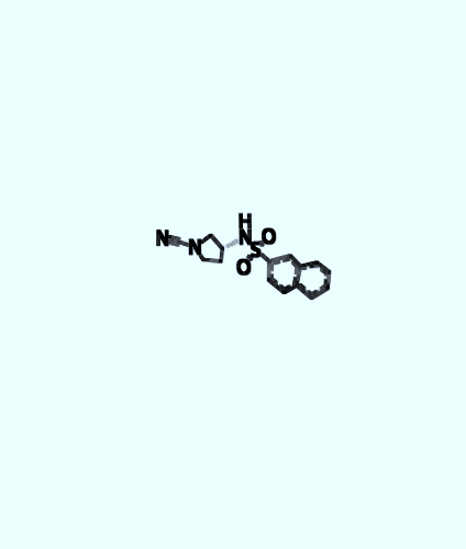 N#CN1CC[C@@H](NS(=O)(=O)c2ccc3ccccc3c2)C1